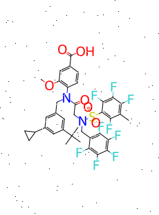 COc1cc(C(=O)O)ccc1N(Cc1cc(C2CC2)cc(C(C)(C)C)c1)C(=O)CN(Cc1c(F)c(F)c(F)c(F)c1F)S(=O)(=O)c1c(F)c(C)c(F)c(F)c1F